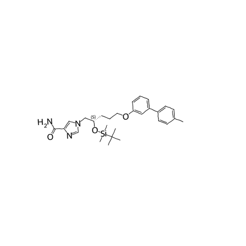 Cc1ccc(-c2cccc(OCCC[C@@H](Cn3cnc(C(N)=O)c3)O[Si](C)(C)C(C)(C)C)c2)cc1